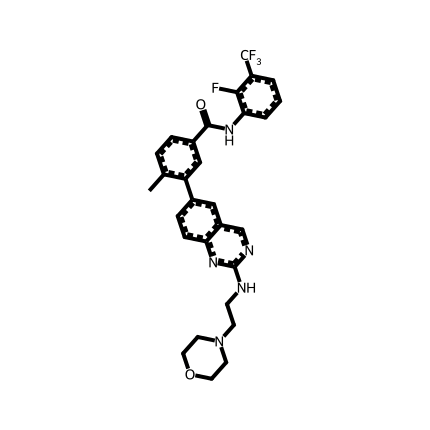 Cc1ccc(C(=O)Nc2cccc(C(F)(F)F)c2F)cc1-c1ccc2nc(NCCN3CCOCC3)ncc2c1